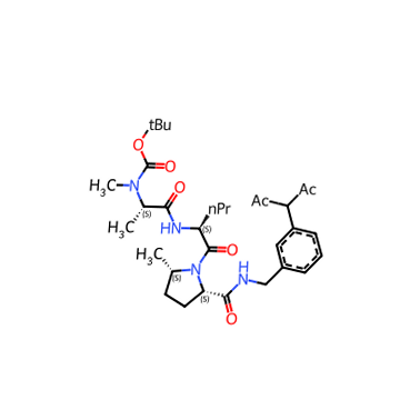 CCC[C@H](NC(=O)[C@H](C)N(C)C(=O)OC(C)(C)C)C(=O)N1[C@@H](C)CC[C@H]1C(=O)NCc1cccc(C(C(C)=O)C(C)=O)c1